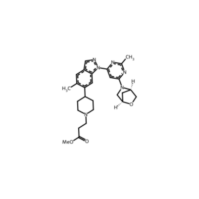 COC(=O)CCN1CCC(c2cc3c(cnn3-c3cc(N4C[C@H]5C[C@@H]4CO5)nc(C)n3)cc2C)CC1